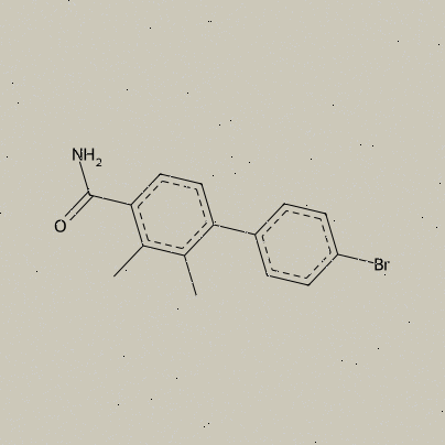 Cc1c(C(N)=O)ccc(-c2ccc(Br)cc2)c1C